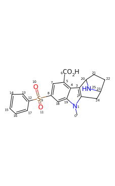 Cn1c2c(c3c(C(=O)O)cc(S(=O)(=O)c4ccccc4)cc31)C1CCC(C2)N1